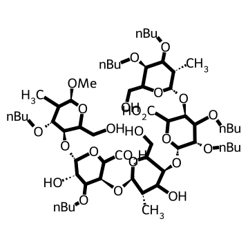 CCCCOC1[C@H](OCCCC)C(CO)O[C@@H](O[C@@H]2C(C(=O)O)O[C@@H](O[C@@H]3C(CO)O[C@H](O[C@@H]4C(C(=O)O)O[C@@H](O[C@@H]5C(CO)O[C@H](OC)C(C)[C@H]5OCCCC)[C@@H](O)C4OCCCC)[C@@H](C)C3O)[C@@H](OCCCC)C2OCCCC)[C@H]1C